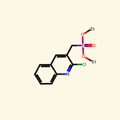 CCOP(=O)(Cc1cc2ccccc2nc1Cl)OCC